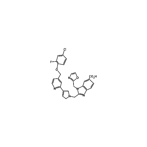 O=C(O)c1ccc2nc(CN3CC=C(c4cc(COc5ccc(Cl)cc5F)ccn4)C3)n(Cc3ncco3)c2c1